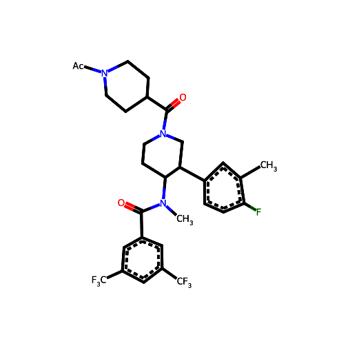 CC(=O)N1CCC(C(=O)N2CCC(N(C)C(=O)c3cc(C(F)(F)F)cc(C(F)(F)F)c3)C(c3ccc(F)c(C)c3)C2)CC1